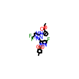 CCOC(=O)C1C2CCC(CC2)C1Nc1nc(-c2cn(S(=O)(=O)c3ccc(C)cc3)c3ncc(F)cc23)nn2c(C(F)F)ccc12